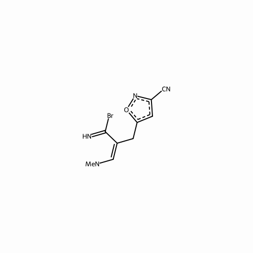 CN/C=C(/Cc1cc(C#N)no1)C(=N)Br